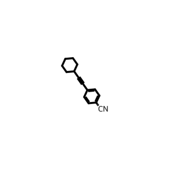 N#Cc1ccc(C#CC2CCCCC2)cc1